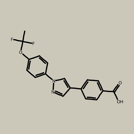 CC(F)(F)Oc1ccc(-n2cc(-c3ccc(C(=O)O)cc3)cn2)cc1